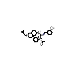 COc1cccc(/C=C/C(=O)N(C)C2CCC3CN(CC4CC4)CCC3(c3cccc(OC(C)=O)c3)C2)c1